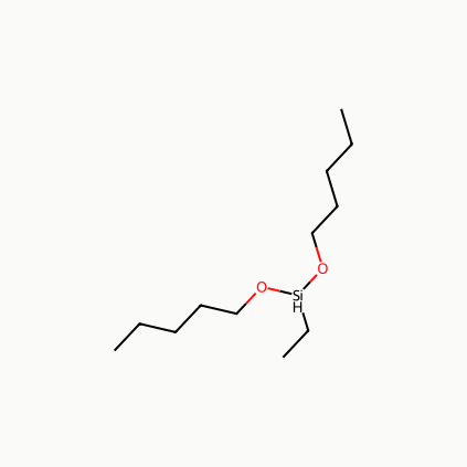 CCCCCO[SiH](CC)OCCCCC